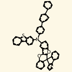 c1ccc(-c2ccc(-c3ccc(N(c4ccc5c(c4)sc4ccccc45)c4ccc5oc6c(c5c4)Oc4ccccc4C64c5ccccc5-c5ccccc54)cc3)cc2)cc1